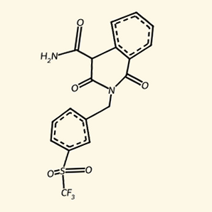 NC(=O)C1C(=O)N(Cc2cccc(S(=O)(=O)C(F)(F)F)c2)C(=O)c2ccccc21